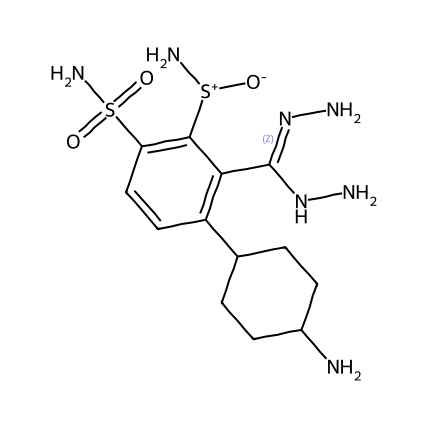 N/N=C(\NN)c1c(C2CCC(N)CC2)ccc(S(N)(=O)=O)c1[S+](N)[O-]